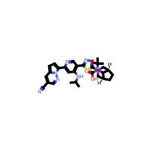 CC(C)Nc1cc(-c2ccc3cc(C#N)cnn23)ncc1-c1nnc(N2C[C@H]3CC[C@@H](C2)C3N(C(=O)O)C(C)(C)C)s1